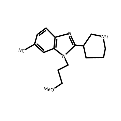 COCCCn1c(C2CCCNC2)nc2ccc(C#N)cc21